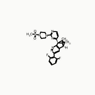 CC1(C)[C@H]2CC[C@@]1(c1ccnc(N3CCN(S(C)(=O)=O)CC3)n1)c1nnc(-c3c(F)cccc3F)cc12